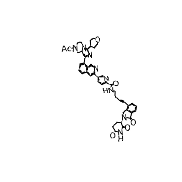 CC(=O)N1CCn2c(C3CCOCC3)nc(-c3cccc4cc(-c5ccc(C(=O)NCCC#Cc6cccc7c6CN([C@H]6CCC(=O)NC6=O)C7=O)nc5)ncc34)c2C1